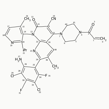 C=CC(=O)N1CCN(c2c(C#N)c(=O)n(-c3c(C)ccnc3C(C)C)c3nc(-c4c(N)c(Cl)c(F)c(Cl)c4F)c(C)cc23)CC1